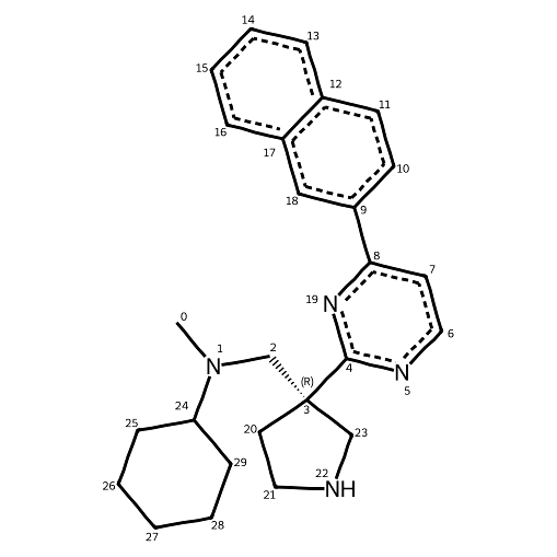 CN(C[C@@]1(c2nccc(-c3ccc4ccccc4c3)n2)CCNC1)C1CCCCC1